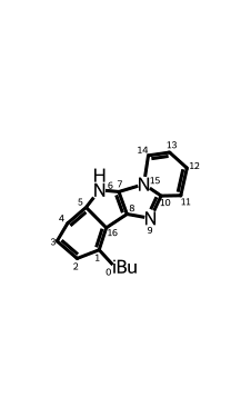 CCC(C)c1cccc2[nH]c3c(nc4ccccn43)c12